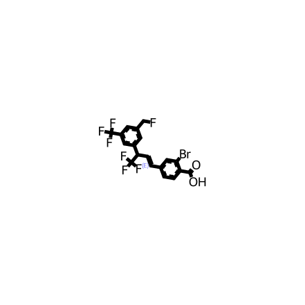 O=C(O)c1ccc(/C=C/C(c2cc(CF)cc(C(F)(F)F)c2)C(F)(F)F)cc1Br